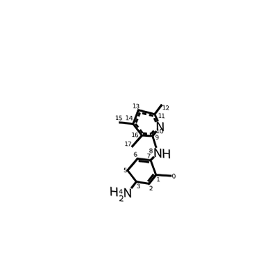 CC1=CC(N)CC=C1Nc1nc(C)cc(C)c1C